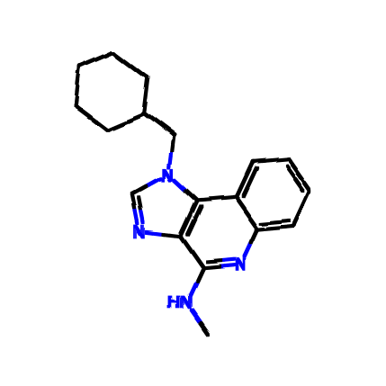 CNc1nc2ccccc2c2c1ncn2CC1CCCCC1